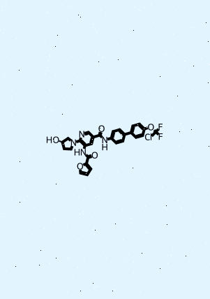 O=C(Nc1ccc(-c2ccc(OC(F)(F)Cl)cc2)cc1)c1cnc(N2CC[C@@H](O)C2)c(NC(=O)c2ccco2)c1